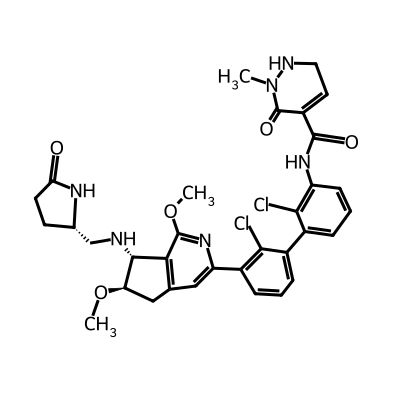 COc1nc(-c2cccc(-c3cccc(NC(=O)C4=CCNN(C)C4=O)c3Cl)c2Cl)cc2c1[C@@H](NC[C@@H]1CCC(=O)N1)[C@H](OC)C2